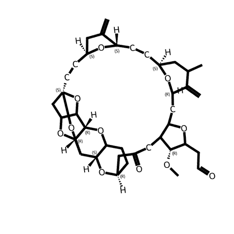 C=C1C[C@@H]2CC[C@@]34CC5O[C@H]6C(O3)[C@H]3O[C@H](CCC3O[C@H]6C5O4)CC(=O)CC3C(C[C@H]4O[C@@H](CC[C@@H]1O2)CC(C)C4=C)OC(CC=O)[C@@H]3OC